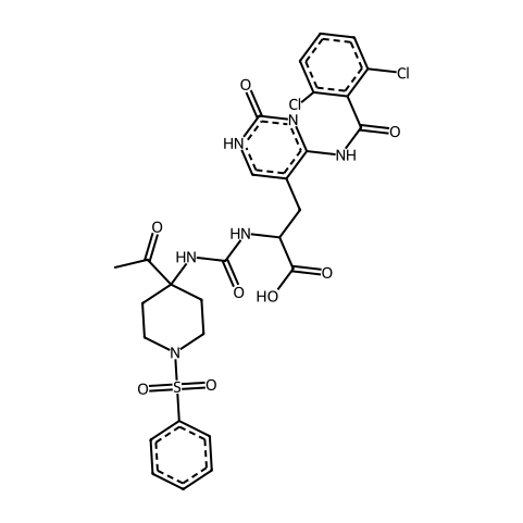 CC(=O)C1(NC(=O)NC(Cc2c[nH]c(=O)nc2NC(=O)c2c(Cl)cccc2Cl)C(=O)O)CCN(S(=O)(=O)c2ccccc2)CC1